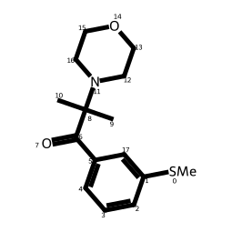 CSc1cccc(C(=O)C(C)(C)N2CCOCC2)c1